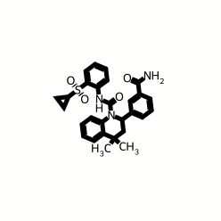 CC1(C)CC(c2cccc(C(N)=O)c2)N(C(=O)Nc2ccccc2S(=O)(=O)C2CC2)c2ccccc21